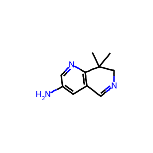 CC1(C)CN=Cc2cc(N)cnc21